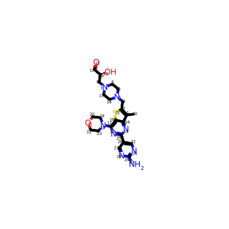 Cc1c(CN2CCN(C[C@H](O)C=O)CC2)sc2c(N3CCOCC3)nc(-c3cnc(N)nc3)nc12